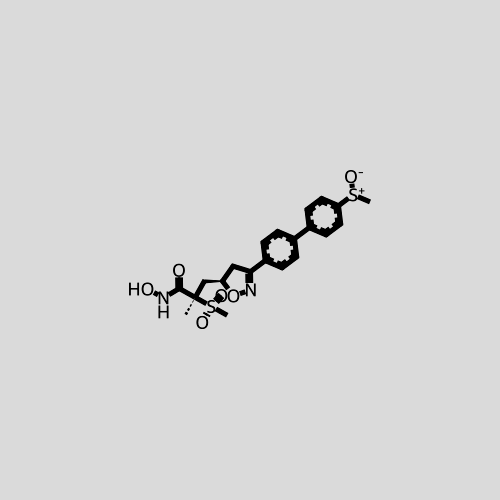 C[S+]([O-])c1ccc(-c2ccc(C3=NO[C@@H](C[C@](C)(C(=O)NO)S(C)(=O)=O)C3)cc2)cc1